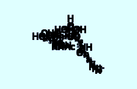 CC(=O)N[C@H]1C(C[C@H](O)CO)O[C@](C=O)(SCC2O[C@@H](OCCCNC(=O)CCCCCN=[N+]=[N-])[C@@H](O)C(O)[C@H]2O)C[C@H]1O